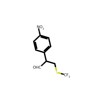 O=CC(CSC(F)(F)F)c1ccc([N+](=O)[O-])cc1